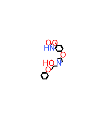 O=c1[nH]c2cc(OC3CN(CC(O)COc4ccccc4)C3)ccc2o1